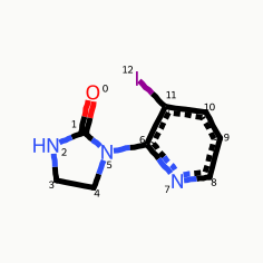 O=C1NCCN1c1ncccc1I